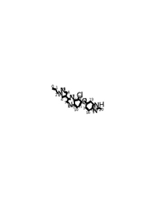 C=CCn1cc(-c2cnc3ccc(Oc4ccc5nc(C)[nH]c5c4)c(Cl)c3n2)cn1